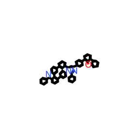 c1ccc(-c2nc(-c3ccc(-c4cccc5c4oc4ccccc45)cc3)cc(-c3cccc(-c4ccc5nc(-c6ccccc6)c6cccc(-c7ccccc7)c6c5c4)c3)n2)cc1